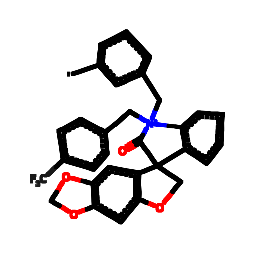 [CH]c1cccc(C[N+]2(Cc3ccc(C(F)(F)F)cc3)C(=O)C3(COc4cc5c(cc43)OCO5)c3ccccc32)c1